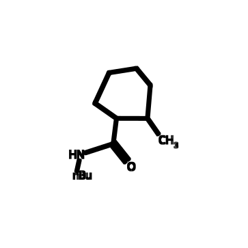 CCCCNC(=O)C1CCCCC1C